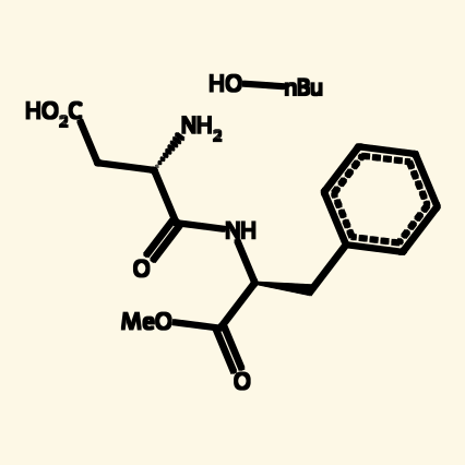 COC(=O)[C@H](Cc1ccccc1)NC(=O)[C@@H](N)CC(=O)O.[CH2]CCCO